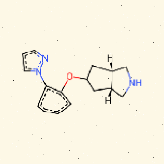 c1ccc(-n2cccn2)c(OC2C[C@H]3CNC[C@H]3C2)c1